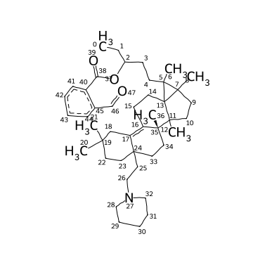 CCC(CCC1(C)C2(C)CCC3(C)C12CCC1=C2CC(C)(C)CCC2(CCN2CCCCC2)CC[C@]13C)OC(=O)c1ccccc1C=O